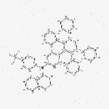 CC(C)(C)c1ccc(N(C2=c3ccccc3=CCC2)c2ccc3c(c2)c2ccccc2c2c(-c4ccccc4)cc(-c4ccccc4)c(-c4ccccc4)c32)cc1